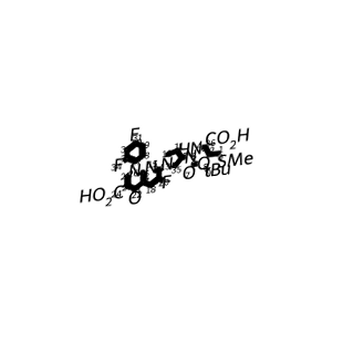 CSCC[C@H](NN(C(=O)OC(C)(C)C)C1CCN(c2nc3c(cc2F)c(=O)c(C(=O)O)cn3-c2ccc(F)cc2F)C1)C(=O)O